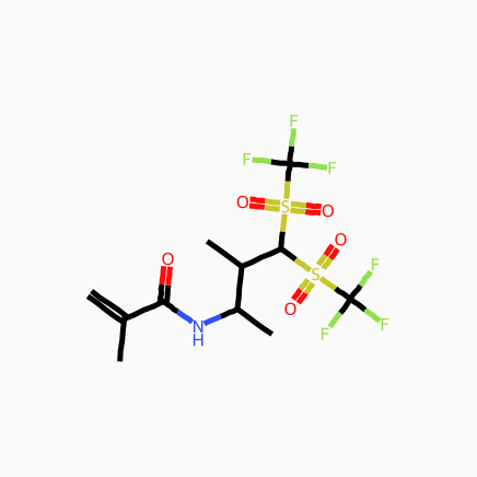 C=C(C)C(=O)NC(C)C(C)C(S(=O)(=O)C(F)(F)F)S(=O)(=O)C(F)(F)F